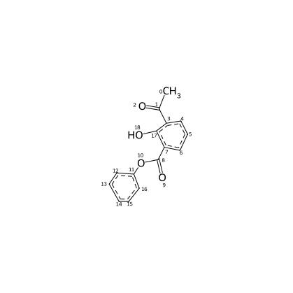 CC(=O)c1cccc(C(=O)Oc2ccccc2)c1O